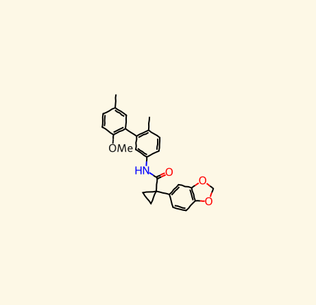 COc1ccc(C)cc1-c1cc(NC(=O)C2(c3ccc4c(c3)OCO4)CC2)ccc1C